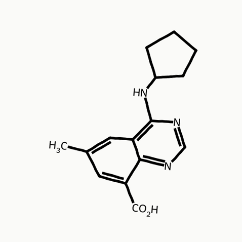 Cc1cc(C(=O)O)c2ncnc(NC3CCCC3)c2c1